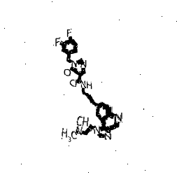 CN(C)CCn1cnc2cnc3ccc(C#CCNC(=O)c4cncn(Cc5ccc(F)c(F)c5)c4=O)cc3c21